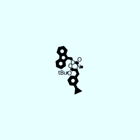 CN(C(=O)OCC1c2ccccc2-c2ccccc21)C(Cc1cccc(C2CC2)c1)C(=O)OC(C)(C)C